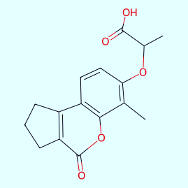 Cc1c(OC(C)C(=O)O)ccc2c3c(c(=O)oc12)CCC3